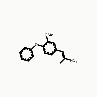 COc1cc(C=C(C)[N+](=O)[O-])ccc1Oc1ccccc1